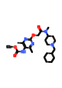 Cc1nc(OCC(=O)N(C)C2CCN(CC3CCCCC3)CC2)nc(C)c1NC(=O)OC(C)(C)C